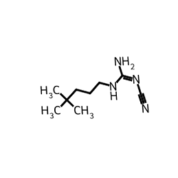 CC(C)(C)CCCN/C(N)=N\C#N